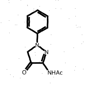 CC(=O)NC1=NN(c2ccccc2)CC1=O